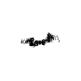 CN[C@@H](C)C(=O)N[C@H](C(=O)N1CCC[C@H]1C(=O)N[C@@H]1CCCc2c1cccc2N1CCN(c2cccc3c2CCC[C@H]3NC(=O)[C@@H]2CCCN2C(=O)[C@@H](NC(=O)[C@H](C)NC)C2CCCCC2)CC1)C1CCCCC1